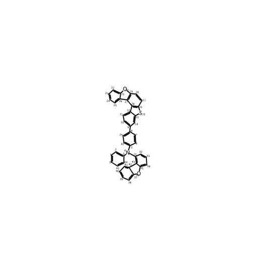 c1ccc(N(c2ccc(-c3ccc4c(c3)sc3ccc5oc6ccccc6c5c34)cc2)c2cccc3oc4ccccc4c23)cc1